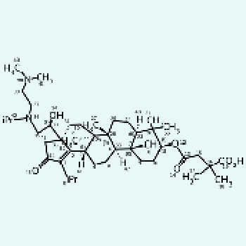 CC(C)C1=C2[C@H]3CC[C@@H]4[C@@]5(C)CC[C@H](OC(=O)CC(C)(C)C(=O)O)C(C)(C)[C@@H]5CC[C@@]4(C)[C@]3(C)CC[C@@]2([C@H](O)CN(CCN(C)C)C(C)C)CC1=O